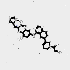 C=CC(=O)N1CCC=C(c2ccc3ncnc(Nc4ccc(O/C(=C/c5nncn5C)N=C)c(C)c4)c3c2)C1